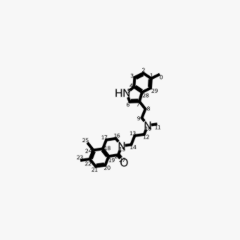 Cc1ccc2[nH]cc(CCN(C)CCCN3CCc4c(ccc(C)c4C)C3=O)c2c1